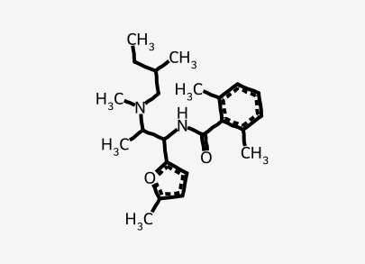 CCC(C)CN(C)C(C)C(NC(=O)c1c(C)cccc1C)c1ccc(C)o1